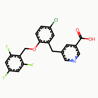 O=C(O)c1cncc(Cc2cc(Cl)ccc2OCc2c(F)cc(F)cc2F)c1